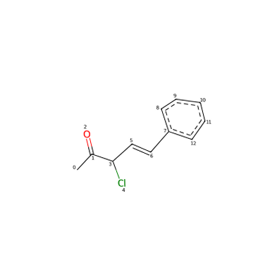 CC(=O)C(Cl)C=Cc1ccccc1